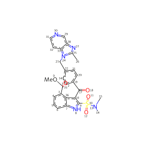 COC(=O)c1cccc2[nH]c(S(=O)(=O)N(C)C)c(C(=O)c3ccc(Cn4c(C)nc5cnccc54)cc3)c12